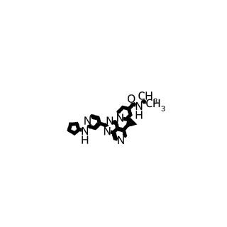 CC(C)NC(=O)C1CCN(c2nc(-c3ccnc(NC4CCCC4)c3)nc3cncc(C4CC4)c23)CC1